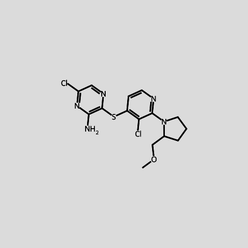 COCC1CCCN1c1nccc(Sc2ncc(Cl)nc2N)c1Cl